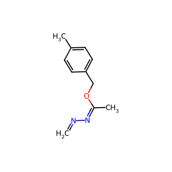 C=N/N=C(/C)OCc1ccc(C)cc1